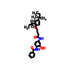 CCC(C)(C)c1ccc(OCCCC(=O)Nc2ccc(NC(=O)c3ccccc3)c(O)c2)c(C(C)(C)CC)c1